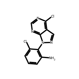 Nc1cccc(Cl)c1-n1ncc2c(Cl)ncnc21